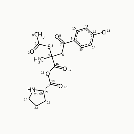 CC(=O)SC(C)(CC(=O)c1ccc(Cl)cc1)C(=O)OC(=O)[C@@H]1CCCN1